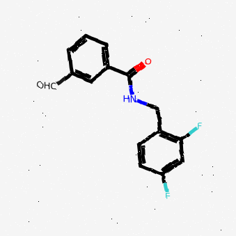 O=Cc1cccc(C(=O)NCc2ccc(F)cc2F)c1